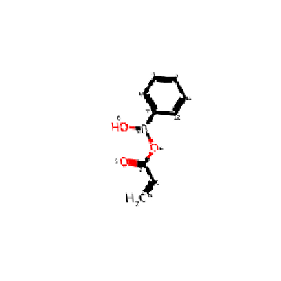 C=CC(=O)OB(O)c1ccccc1